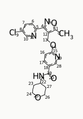 Cc1onc(-c2ccc(Cl)cn2)c1COc1ccc(C(=O)NC2CCOCC2)cn1